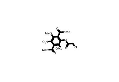 CNC(=O)c1c(NC(=O)CCl)c(OC)c(C(=O)NC)c([N+](=O)[O-])c1OC